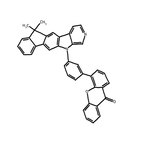 CC1(C)c2ccccc2-c2cc3c(cc21)c1ccncc1n3-c1cccc(-c2cccc3c(=O)c4ccccc4oc23)c1